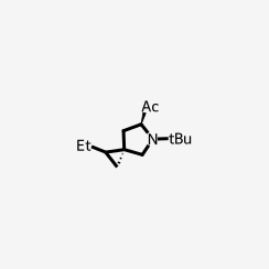 CCC1C[C@@]12C[C@@H](C(C)=O)N(C(C)(C)C)C2